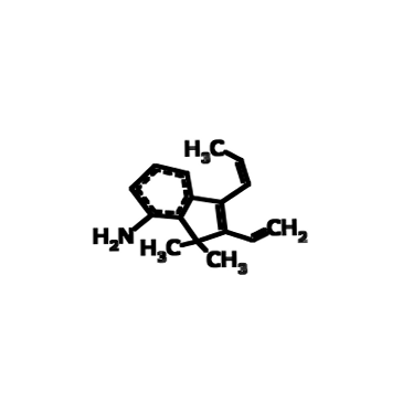 C=CC1=C(/C=C\C)c2cccc(N)c2C1(C)C